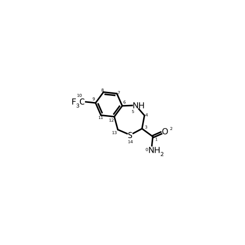 NC(=O)C1CNc2ccc(C(F)(F)F)cc2CS1